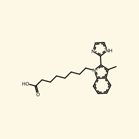 Cc1c(-c2ncc[nH]2)n(CCCCCCCC(=O)O)c2ccccc12